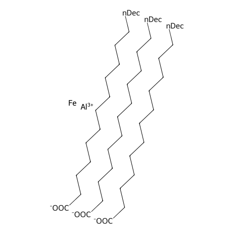 CCCCCCCCCCCCCCCCCCCCCC(=O)[O-].CCCCCCCCCCCCCCCCCCCCCC(=O)[O-].CCCCCCCCCCCCCCCCCCCCCC(=O)[O-].[Al+3].[Fe]